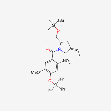 CC=C1CC(CO[Si](C)(C)C(C)(C)C)N(C(=O)c2cc(OC)c(O[Si](C(C)C)(C(C)C)C(C)C)cc2[N+](=O)[O-])C1